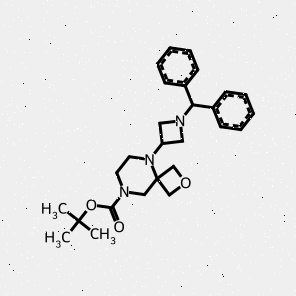 CC(C)(C)OC(=O)N1CCN(C2CN(C(c3ccccc3)c3ccccc3)C2)C2(COC2)C1